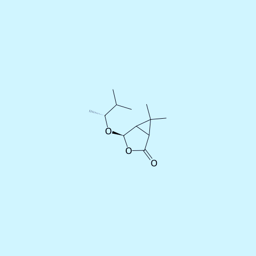 CC(C)[C@@H](C)O[C@@H]1OC(=O)C2C1C2(C)C